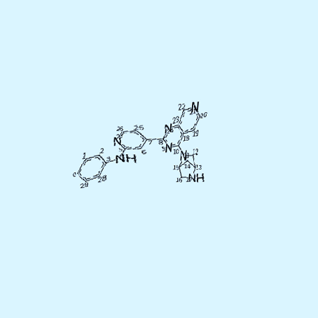 c1ccc(Nc2cc(-c3nc(N4CC5CC4CN5)c4ccncc4n3)ccn2)cc1